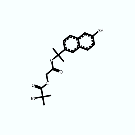 CCC(C)(C)C(=O)OCC(=O)OC(C)(C)c1ccc2cc(S)ccc2c1